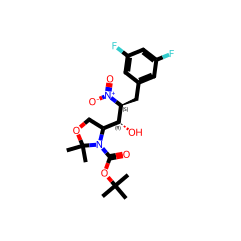 CC(C)(C)OC(=O)N1C([C@@H](O)[C@H](Cc2cc(F)cc(F)c2)[N+](=O)[O-])COC1(C)C